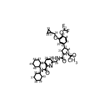 CC(=O)N1CC(c2ccc(OC(F)F)c(OCC3CC3)c2)C[C@@H]1C(=O)NCc1cccc(C(=O)N(C2CCCCC2)C2CCCCC2)n1